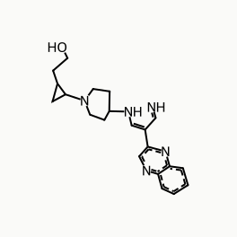 N=C/C(=C\NC1CCN(C2CC2CCO)CC1)c1cnc2ccccc2n1